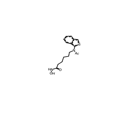 CC(=O)N(CCCCCC(=O)NO)c1scc2ccccc12